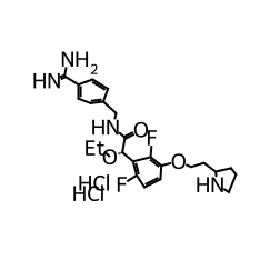 CCO[C@H](C(=O)NCc1ccc(C(=N)N)cc1)c1c(F)ccc(OCCC2CCCN2)c1F.Cl.Cl